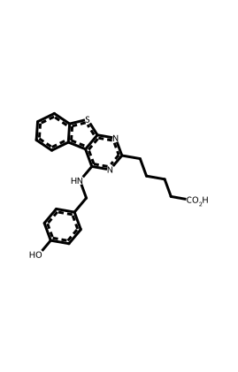 O=C(O)CCCCc1nc(NCc2ccc(O)cc2)c2c(n1)sc1ccccc12